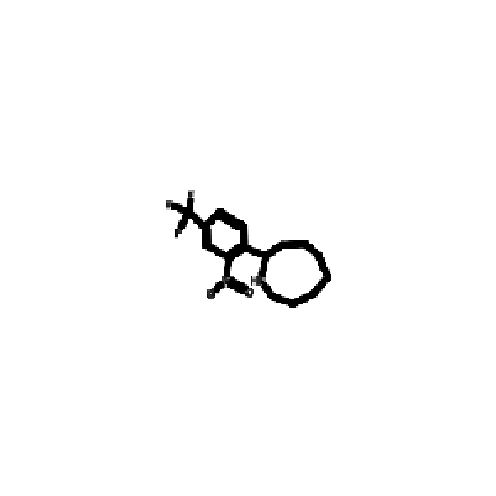 O=[N+]([O-])c1cc(C(F)(F)F)ccc1C1CCCCCCCN1